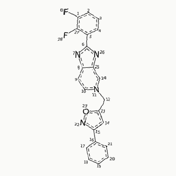 Fc1cccc(-c2nc3ccn(Cc4cc(-c5ccccc5)no4)cc-3n2)c1F